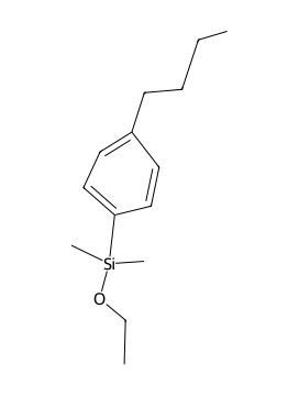 CCCCc1ccc([Si](C)(C)OCC)cc1